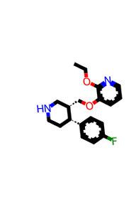 CCOc1ncccc1OC[C@H]1CNCC[C@H]1c1ccc(F)cc1